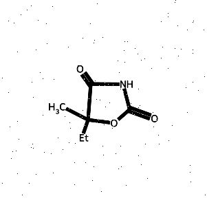 CCC1(C)OC(=O)NC1=O